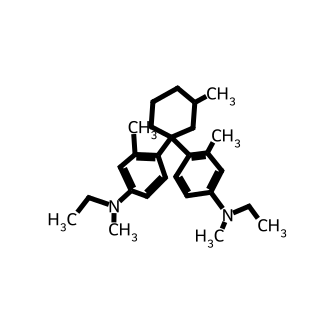 CCN(C)c1ccc(C2(c3ccc(N(C)CC)cc3C)CCCC(C)C2)c(C)c1